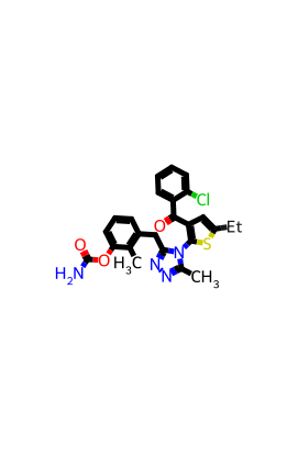 CCc1cc(C(=O)c2ccccc2Cl)c(-n2c(C)nnc2Cc2cccc(OC(N)=O)c2C)s1